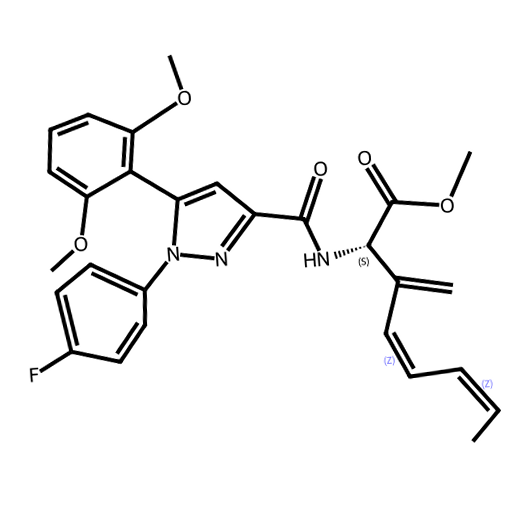 C=C(/C=C\C=C/C)[C@H](NC(=O)c1cc(-c2c(OC)cccc2OC)n(-c2ccc(F)cc2)n1)C(=O)OC